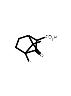 [CH2]C12CCC(C(C(=O)O)C1=O)C2(C)C